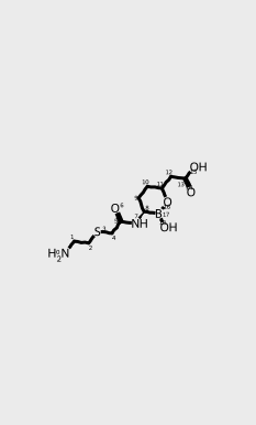 NCCSCC(=O)N[C@H]1CCC(CC(=O)O)OB1O